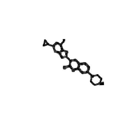 O=c1oc2cc(N3CCNCC3)ccc2cc1-c1cn2cc(C3CC3)cc(F)c2n1